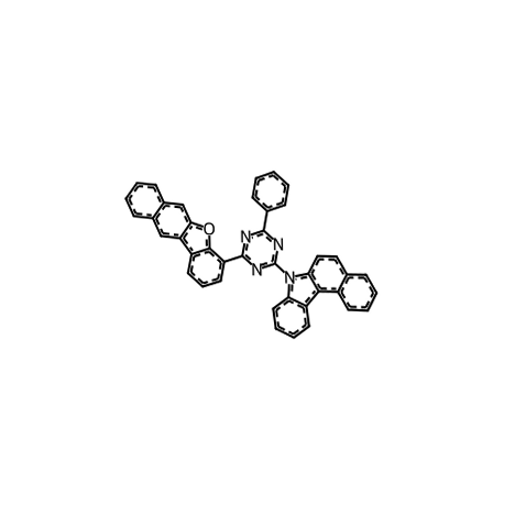 c1ccc(-c2nc(-c3cccc4c3oc3cc5ccccc5cc34)nc(-n3c4ccccc4c4c5ccccc5ccc43)n2)cc1